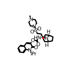 CC(C)n1c(=O)c(OC(=O)N[C@@H]2C[C@H]3CC[C@@H](C2)N3CCCS(=O)(=O)N2CCN(C)CC2)cc2ccccc21